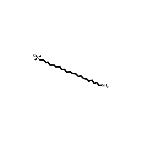 C[Si](C)(Cl)CCCCCCCCCCCCCCCCCCCCCCCN